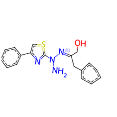 NN(/N=C(/CO)Cc1ccccc1)c1nc(-c2ccccc2)cs1